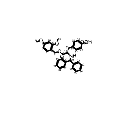 COc1ccc(COC(=O)[C@@H](Cc2ccc(O)cc2)NC(c2ccccc2)c2ccccc2)c(OC)c1